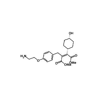 COC(=O)/C(Cc1ccc(OCCN)cc1)=C(\C(=O)OC)[C@H]1CC[C@@H](O)CC1